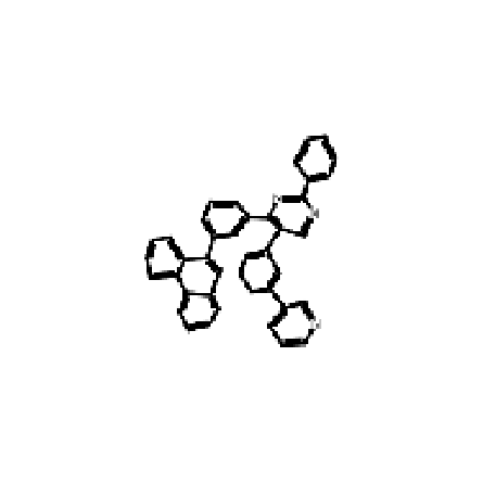 C1=C(c2cccnc2)CCC=C1c1cnc(-c2ccccc2)nc1-c1cccc(-c2cc3ccccc3c3ccccc23)c1